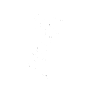 COc1cc(OC)c(Cl)c(C2=Cc3cnc(Nc4c(N)cccc4CN)cc3CN2C)c1Cl